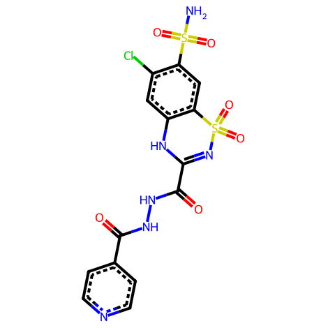 NS(=O)(=O)c1cc2c(cc1Cl)NC(C(=O)NNC(=O)c1ccncc1)=NS2(=O)=O